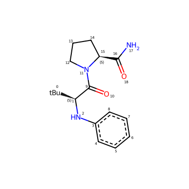 CC(C)(C)[C@H](Nc1ccccc1)C(=O)N1CCC[C@H]1C(N)=O